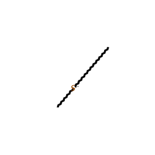 CCCCCCCCCCCCCCCCCCCCCCC[CH]SCCCCCCCCCCC